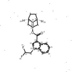 O=C(O[C@H]1C[C@H]2CC[C@@H](C1)N2)c1cn(CC(F)F)c2ccccc12